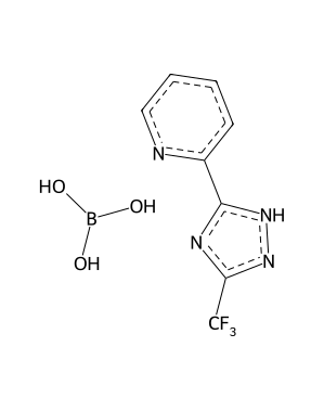 FC(F)(F)c1n[nH]c(-c2ccccn2)n1.OB(O)O